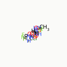 C[C@@H](NC(=O)C(=O)N1C[C@H]2COc3c(c(Cl)n(C)c3C(=O)Nc3ccc(F)c(C(F)F)c3)S(=O)(=O)N[C@H]2C1)C(F)(F)F